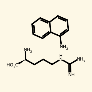 N=C(N)NCCC[C@H](N)C(=O)O.Nc1cccc2ccccc12